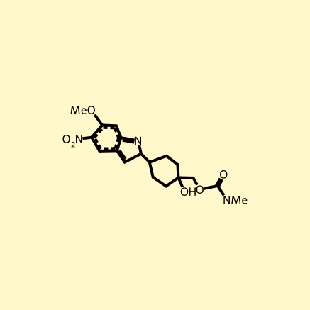 CNC(=O)OCC1(O)CCC(C2C=c3cc([N+](=O)[O-])c(OC)cc3=N2)CC1